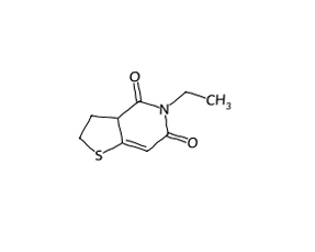 CCN1C(=O)C=C2SCCC2C1=O